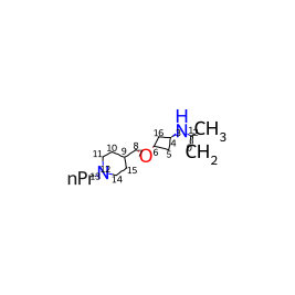 C=C(C)N[C@H]1C[C@H](OCC2CCN(CCC)CC2)C1